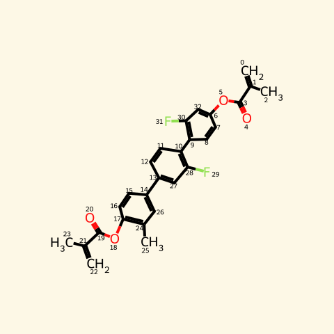 C=C(C)C(=O)Oc1ccc(-c2ccc(-c3ccc(OC(=O)C(=C)C)c(C)c3)cc2F)c(F)c1